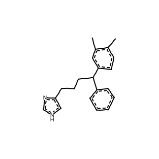 Cc1ccc(C(CCCc2c[nH]cn2)c2ccccc2)cc1C